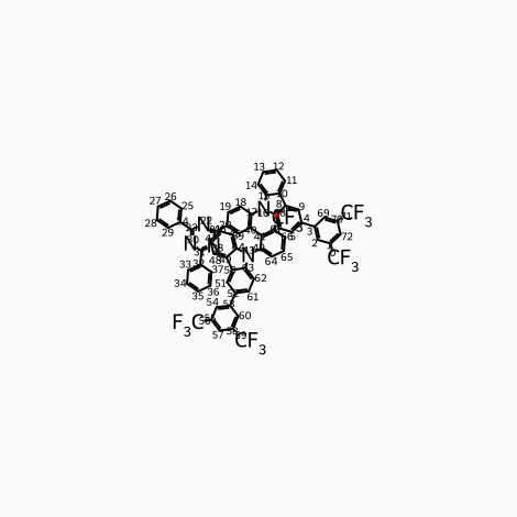 FC(F)(F)c1cc(-c2ccc3c(c2)c2ccccc2n3-c2ccc(-c3nc(-c4ccccc4)nc(-c4ccccc4)n3)cc2-c2c(-n3c4ccccc4c4cc(-c5cc(C(F)(F)F)cc(C(F)(F)F)c5)ccc43)cccc2C(F)(F)F)cc(C(F)(F)F)c1